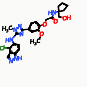 COc1cc(-c2nc(Nc3ccc4[nH]ncc4c3Cl)n(C)n2)ccc1OCC(=O)NC1(CO)CCCC1